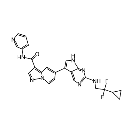 O=C(Nc1cccnc1)c1cnn2ccc(-c3c[nH]c4nc(NCC(F)(F)C5CC5)ncc34)cc12